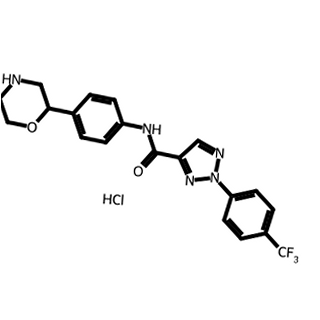 Cl.O=C(Nc1ccc(C2CNCCO2)cc1)c1cnn(-c2ccc(C(F)(F)F)cc2)n1